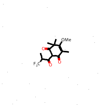 COC1=C(C)C(=O)C(C(=O)C(C)C(F)(F)F)C(=O)C1(C)C